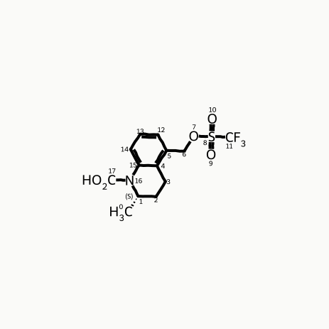 C[C@H]1CCc2c(COS(=O)(=O)C(F)(F)F)cccc2N1C(=O)O